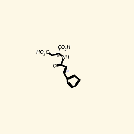 O=C(O)C[C@@H](NC(=O)/C=C/c1ccccc1)C(=O)O